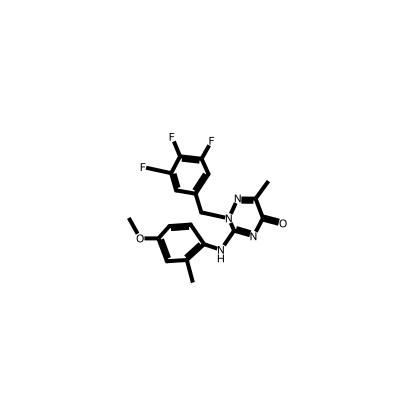 COc1ccc(Nc2nc(=O)c(C)nn2Cc2cc(F)c(F)c(F)c2)c(C)c1